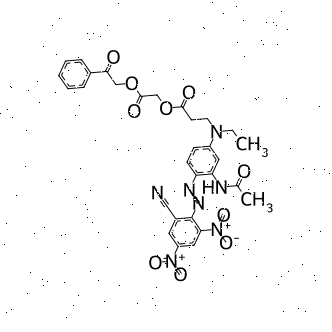 CCN(CCC(=O)OCC(=O)OCC(=O)c1ccccc1)c1ccc(/N=N/c2c(C#N)cc([N+](=O)[O-])cc2[N+](=O)[O-])c(NC(C)=O)c1